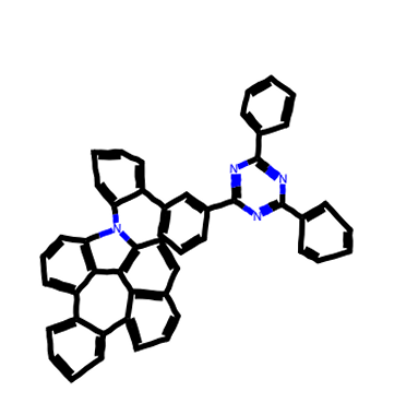 c1ccc(-c2nc(-c3ccccc3)nc(-c3cccc(-c4ccccc4-n4c5cccc6c5c5c7c(cccc7ccc54)-c4ccccc4-6)c3)n2)cc1